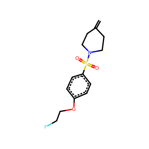 C=C1CCN(S(=O)(=O)c2ccc(OCCF)cc2)CC1